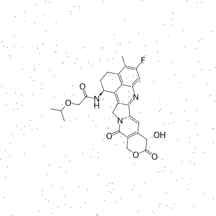 Cc1c(F)cc2nc3c(c4c2c1CC[C@@H]4NC(=O)COC(C)C)Cn1c-3cc2c(c1=O)COC(=O)[C@H]2O